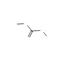 CCOC(=O)N[N]